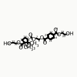 CC1(C)[C@@H](C(=O)OCCOC(=O)c2ccc(C(=O)OCCO)cc2)CC[C@@]1(C)C(=O)OCCO